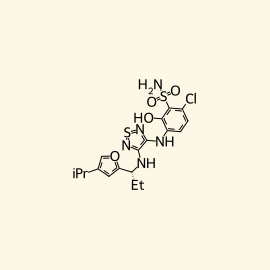 CC[C@@H](Nc1nsnc1Nc1ccc(Cl)c(S(N)(=O)=O)c1O)c1cc(C(C)C)co1